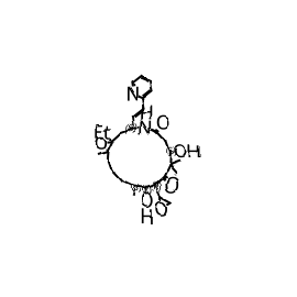 CCC12C[C@@H](C=Cc3ccccn3)NC(=O)C[C@H](O)C(C)(C)C(=O)[C@@H](C3CO3)[C@H](O)[C@@H](C)CCCC1(C)O2